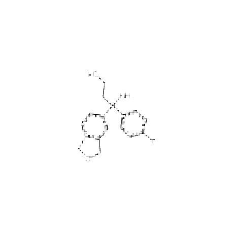 N#CCCC(N)(c1ccc(F)cc1)c1ccc2c(c1)COC2